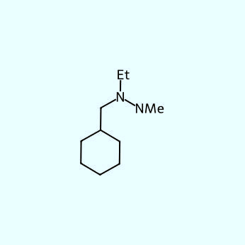 CCN(CC1CCCCC1)NC